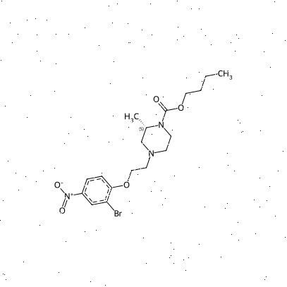 CCCCOC(=O)N1CCN(CCOc2ccc([N+](=O)[O-])cc2Br)C[C@@H]1C